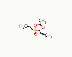 C=CCP(=O)(CC=C)OC(C)=O